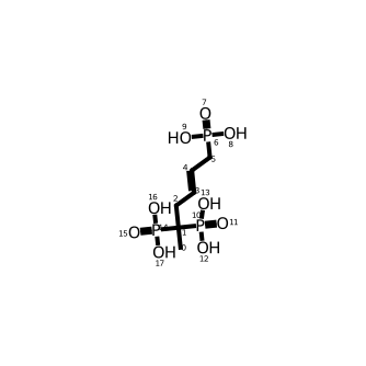 CC(CC=CCP(=O)(O)O)(P(=O)(O)O)P(=O)(O)O